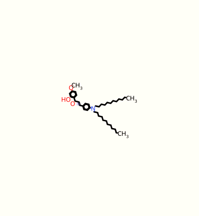 CCCCCCCCCCCCN(CCCCCCCCCCCC)c1ccc(/C=C/C(=O)c2ccc(OC)cc2O)cc1